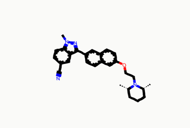 C[C@@H]1CCC[C@H](C)N1CCOc1ccc2cc(-c3nn(C)c4ccc(C#N)cc34)ccc2c1